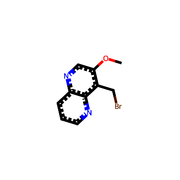 COc1cnc2cccnc2c1CBr